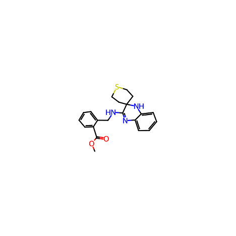 COC(=O)c1ccccc1CNC1=Nc2ccccc2NC12CCSCC2